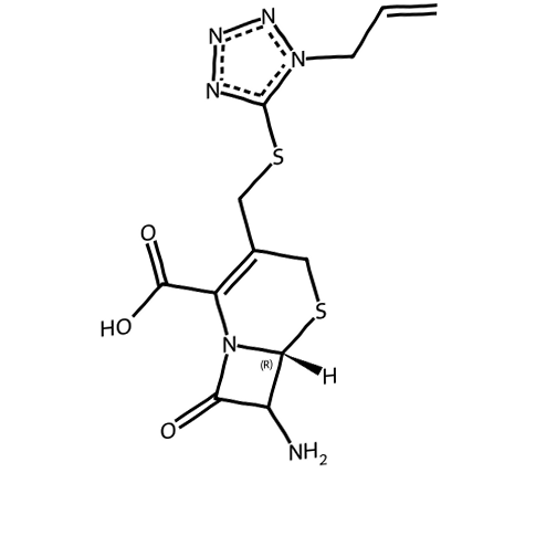 C=CCn1nnnc1SCC1=C(C(=O)O)N2C(=O)C(N)[C@H]2SC1